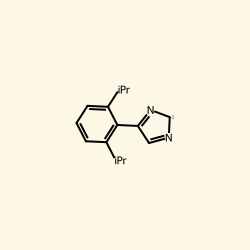 CC(C)c1cccc(C(C)C)c1C1=N[C]N=C1